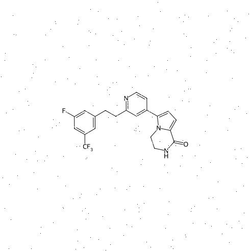 O=C1NCCn2c1ccc2-c1ccnc(CCc2cc(F)cc(C(F)(F)F)c2)c1